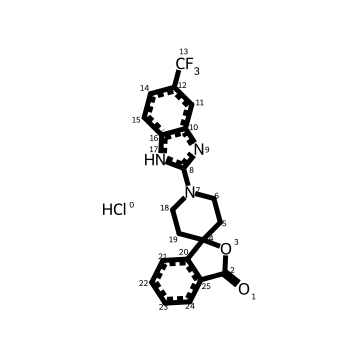 Cl.O=C1OC2(CCN(c3nc4cc(C(F)(F)F)ccc4[nH]3)CC2)c2ccccc21